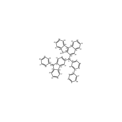 c1ccc(-c2cccc(N(c3ccc4c(c3)c3ccccc3n4-c3ccccc3)c3cc4ccccc4c4c3sc3ccccc34)c2)cc1